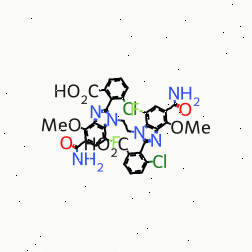 COc1c(C(N)=O)cc(F)c2c1nc(-c1c(Cl)cccc1C(=O)O)n2CCn1c(-c2c(Cl)cccc2C(=O)O)nc2c(OC)c(C(N)=O)cc(F)c21